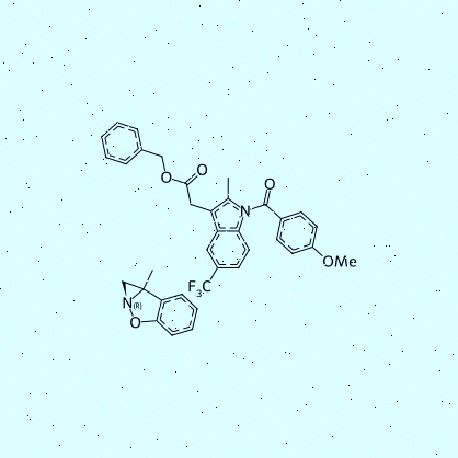 CC12C[N@]1Oc1ccccc12.COc1ccc(C(=O)n2c(C)c(CC(=O)OCc3ccccc3)c3cc(C(F)(F)F)ccc32)cc1